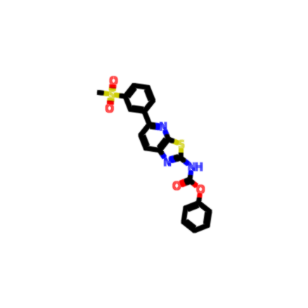 CS(=O)(=O)c1cccc(-c2ccc3nc(NC(=O)Oc4ccccc4)sc3n2)c1